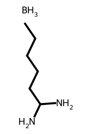 B.CCCCCC(N)N